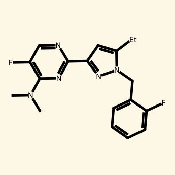 CCc1cc(-c2ncc(F)c(N(C)C)n2)nn1Cc1ccccc1F